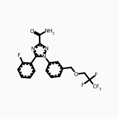 NC(=O)c1nc(-c2ccccc2F)n(-c2cccc(COCC(F)(F)C(F)(F)F)c2)n1